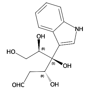 O=CC[C@@H](O)[C@@](O)(c1c[nH]c2ccccc12)[C@H](O)CO